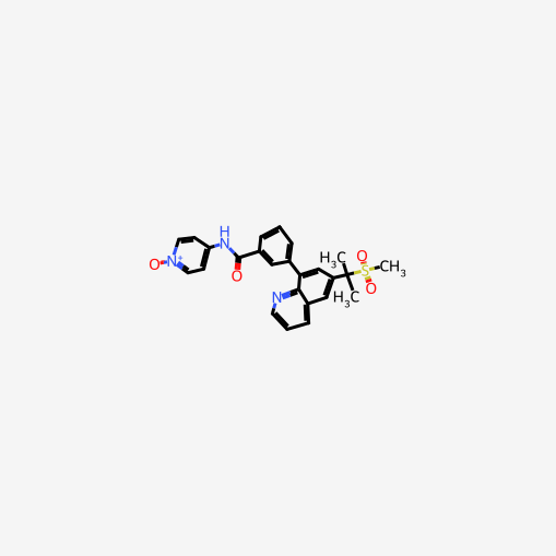 CC(C)(c1cc(-c2cccc(C(=O)Nc3cc[n+]([O-])cc3)c2)c2ncccc2c1)S(C)(=O)=O